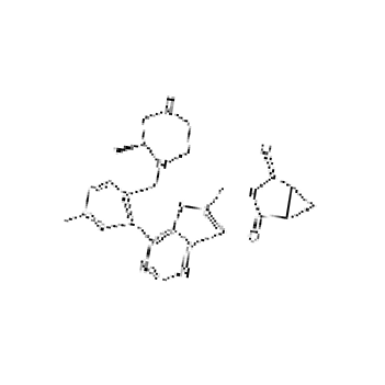 Cc1ccc(CN2CCNC[C@@H]2C)c(-c2ncnc3cc(CN4C(=O)C5CC5C4=O)sc23)c1